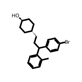 Cc1ccccc1C(CC[C@H]1CC[C@H](O)CC1)c1ccc(Br)cc1